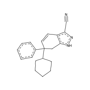 N#Cc1n[nH]c2c1C=CC(c1ccccc1)(C1CCCCC1)C2